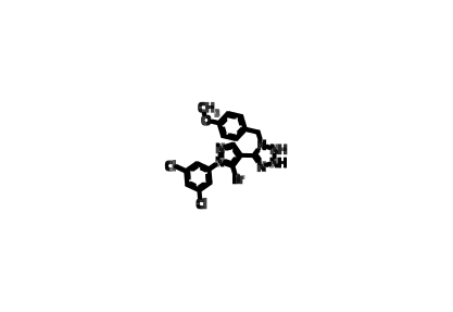 COc1ccc(CN2NNN=C2c2cnn(-c3cc(Cl)cc(Cl)c3)c2Br)cc1